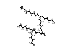 CCCCCCP(CCCCCC)CCCCCC.CCCCCCP(CCCCCC)CCCCCC.[I][Ni][I]